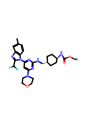 Cc1ccc2c(c1)nc(C(F)F)n2-c1cc(N2CCOCC2)nc(NC[C@H]2CC[C@H](NC(=O)OC(C)(C)C)CC2)n1